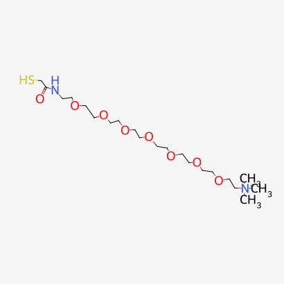 C[N+](C)(C)CCOCCOCCOCCOCCOCCOCCOCCNC(=O)CS